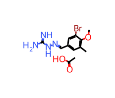 CC(=O)O.COc1c(C)cc(C=NNC(=N)N)cc1Br